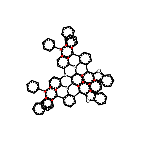 c1ccc(-c2cc3c4c(c2)N(c2c(-c5cccc6c5oc5ccccc56)cccc2-c2cccc5c2oc2ccccc25)c2cc(N(c5ccccc5)c5ccccc5)ccc2B4c2ccc(N(c4ccccc4)c4ccccc4)cc2N3c2c(-c3cccc4c3oc3ccccc34)cccc2-c2cccc3c2oc2ccccc23)cc1